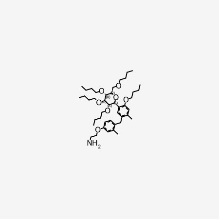 CCCCOC[C@H]1O[C@@H](c2cc(Cc3ccc(OCCN)cc3C)c(C)cc2OCCCC)[C@H](OCCCC)[C@@H](OCCCC)[C@@H]1OCCCC